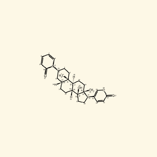 C[C@]12CC[C@H](n3ccccc3=O)C[C@H]1CC[C@@H]1[C@@H]2CC[C@]2(C)[C@@H](c3ccc(=O)oc3)CC[C@]12O